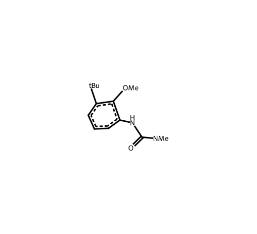 CNC(=O)Nc1cccc(C(C)(C)C)c1OC